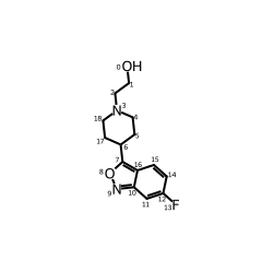 OCCN1CCC(c2onc3cc(F)ccc23)CC1